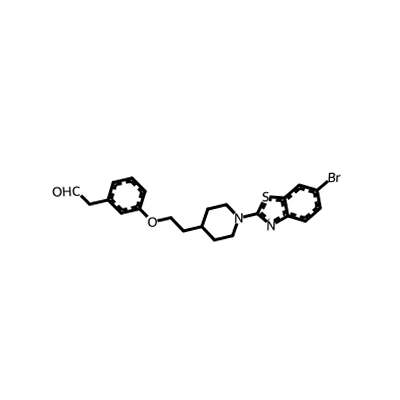 O=CCc1cccc(OCCC2CCN(c3nc4ccc(Br)cc4s3)CC2)c1